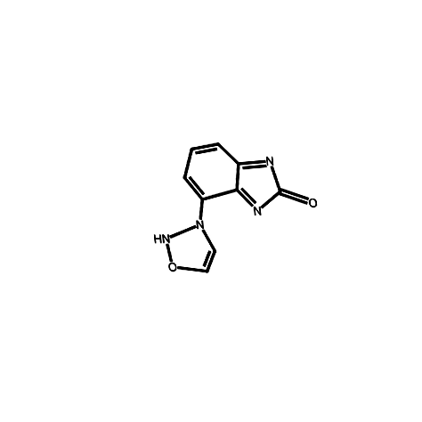 O=C1N=c2cccc(N3C=CON3)c2=N1